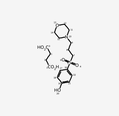 O=C(O)CCC(=O)O.O=S(=O)(CCCN1CCOCC1)c1ccc(O)cc1